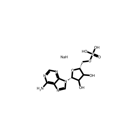 Nc1ncnc2c1ncn2[C@@H]1O[C@H](COP(=O)(O)O)C(O)C1O.[NaH]